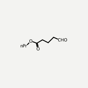 CCCOC(=O)CCCC=O